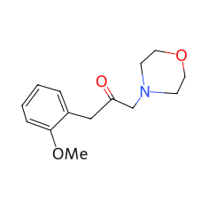 COc1ccccc1CC(=O)CN1CCOCC1